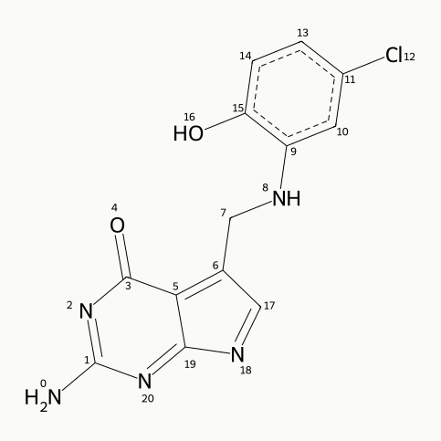 NC1=NC(=O)C2=C(CNc3cc(Cl)ccc3O)C=NC2=N1